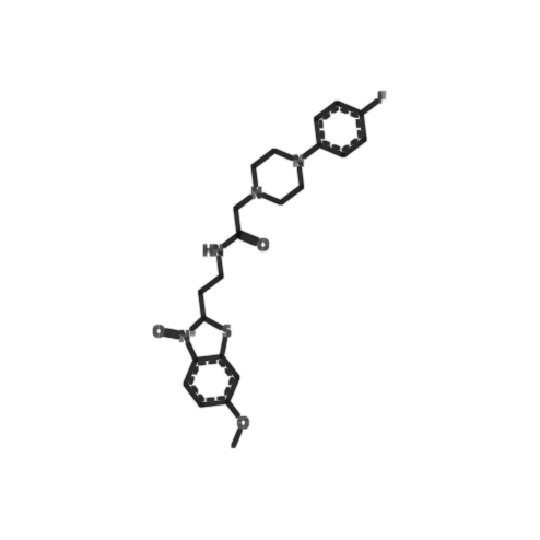 COc1ccc2c(c1)SC(CCNC(=O)CN1CCN(c3ccc(F)cc3)CC1)[N+]2=O